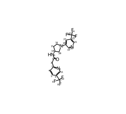 O=C(Cc1ccc(C(F)(F)F)cn1)NC1CCN(c2cncc(C(F)(F)F)c2)C1